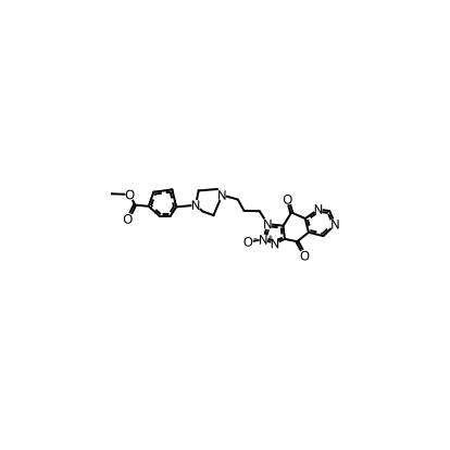 COC(=O)c1ccc(N2CCN(CCCn3c4c(n[n+]3[O-])C(=O)c3cncnc3C4=O)CC2)cc1